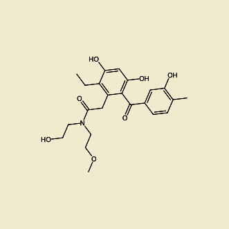 CCc1c(O)cc(O)c(C(=O)c2ccc(C)c(O)c2)c1CC(=O)N(CCO)CCOC